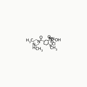 CC1CN(C(=O)c2ccc([C@H](C)Cl)c(S(=O)(=O)NO)c2)CC(C)N1